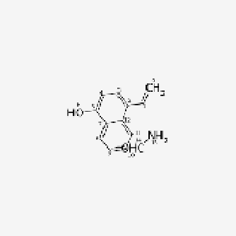 C=Cc1ccc(O)c2ccccc12.NC=O